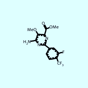 COC(=O)c1nc(-c2ccc(C(F)(F)F)c(F)c2)nc(N)c1OC